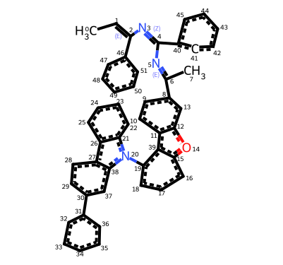 C/C=C(/N=C(\N=C(/C)c1ccc2c(c1)oc1cccc(-n3c4ccccc4c4ccc(-c5ccccc5)cc43)c12)c1ccccc1)c1ccccc1